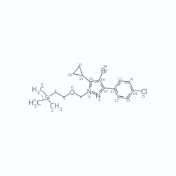 C[Si](C)(C)CCOCn1nc(-c2ccc(Cl)cc2)c(Br)c1C1CC1